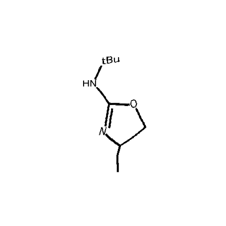 CC1COC(NC(C)(C)C)=N1